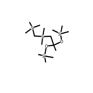 CC(C[Si](C)(C)C[Si](C)(C)C)(O[Si](C)(C)C)O[Si](C)(C)C